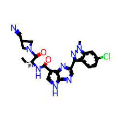 CC[C@@H](NC(=O)c1c[nH]c2ncc(-c3nn(C)c4cc(Cl)ccc34)nc12)C(=O)N1CC(C#N)C1